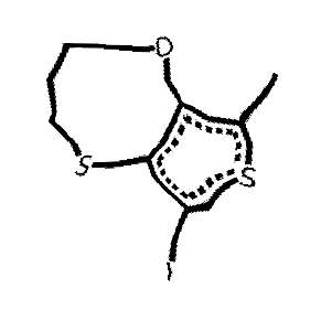 Cc1sc(I)c2c1OCCS2